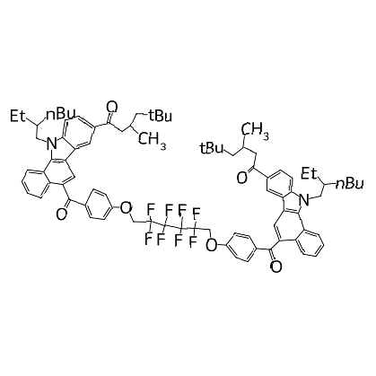 CCCCC(CC)Cn1c2ccc(C(=O)CC(C)CC(C)(C)C)cc2c2cc(C(=O)c3ccc(OCC(F)(F)C(F)(F)C(F)(F)C(F)(F)COc4ccc(C(=O)c5cc6c7cc(C(=O)CC(C)CC(C)(C)C)ccc7n(CC(CC)CCCC)c6c6ccccc56)cc4)cc3)c3ccccc3c21